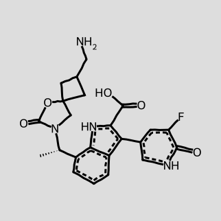 C[C@@H](c1cccc2c(-c3c[nH]c(=O)c(F)c3)c(C(=O)O)[nH]c12)N1CC2(CC(CN)C2)OC1=O